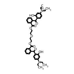 CCN(CC)c1ccc(C(=O)c2ccccc2C(=O)OCCOCCOC(=O)c2ccccc2C(=O)c2ccc(N(CC)CC)cc2O)c(O)c1